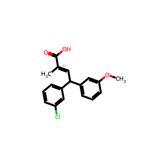 COc1cccc(C(/C=C(\C)C(=O)O)c2cccc(Cl)c2)c1